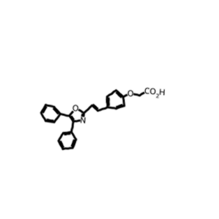 O=C(O)COc1ccc(C=Cc2nc(-c3ccccc3)c(-c3ccccc3)o2)cc1